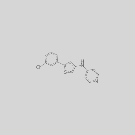 Clc1cccc(-c2cc(Nc3ccncc3)cs2)c1